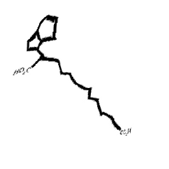 O=C(O)CCCCCCCCCC(C(=O)O)C1=CC=C2C=CC=C21